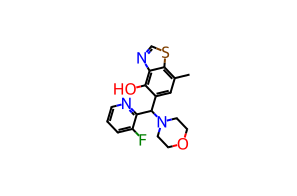 Cc1cc(C(c2ncccc2F)N2CCOCC2)c(O)c2ncsc12